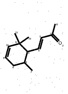 CC(=O)C=CC1C(C)CC=CC1(C)C